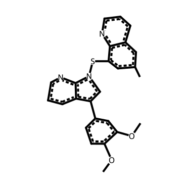 COc1ccc(-c2cn(Sc3cc(C)cc4cccnc34)c3ncccc23)cc1OC